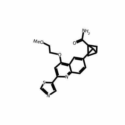 COCCOc1cc(-c2cncs2)nc2ccc(C3C4CC3(C(N)=O)C4)cc12